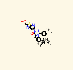 Cc1cccc(Cn2c(C(=O)Nc3cnc4sc(CO)nc4c3)cc3ccc([Si](C)(C)C)cc32)c1